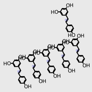 Oc1ccc(/C=C/c2cc(O)cc(O)c2)cc1.Oc1ccc(/C=C/c2cc(O)cc(O)c2)cc1.Oc1ccc(/C=C/c2cc(O)cc(O)c2)cc1.Oc1ccc(/C=C/c2cc(O)cc(O)c2)cc1.Oc1ccc(/C=C/c2cc(O)cc(O)c2)cc1.Oc1ccc(/C=C/c2cc(O)cc(O)c2)cc1